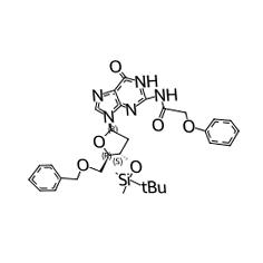 CC(C)(C)[Si](C)(C)O[C@H]1C[C@H](n2cnc3c(=O)[nH]c(NC(=O)COc4ccccc4)nc32)O[C@@H]1COCc1ccccc1